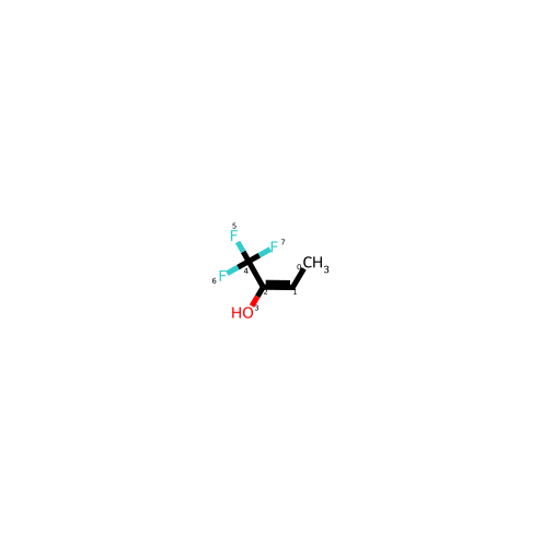 C/C=C(/O)C(F)(F)F